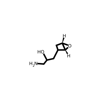 NCC(O)CC1C[C@@H]2O[C@H]12